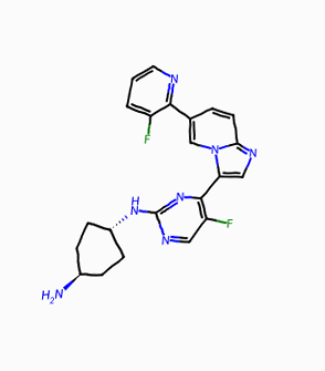 N[C@H]1CC[C@H](Nc2ncc(F)c(-c3cnc4ccc(-c5ncccc5F)cn34)n2)CC1